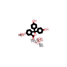 O.O.O.O=C1OC(c2ccc(O)cc2)(c2ccc(O)cc2)c2ccccc21.O=S(=O)(O)O.O=S(=O)(O)O.[KH].[KH].[KH]